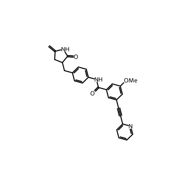 C=C1CC(Cc2ccc(NC(=O)c3cc(C#Cc4ccccn4)cc(OC)c3)cc2)C(=O)N1